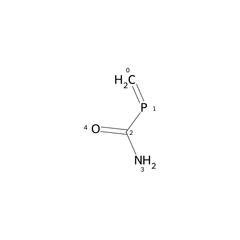 C=PC(N)=O